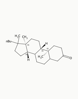 CCCCC1(C)CC[C@H]2C3CCC4CC(=O)CC[C@]4(C)[C@H]3CC[C@@]21C